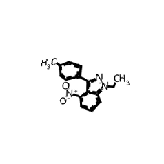 CCn1nc(-c2ccc(C)cc2)c2c([N+](=O)[O-])cccc21